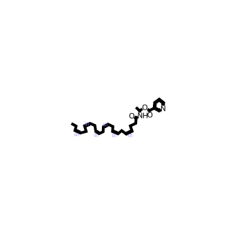 CC/C=C\C/C=C\C/C=C\C/C=C\C/C=C\C/C=C\CCC(=O)NC(C)OC(=O)c1cccnc1